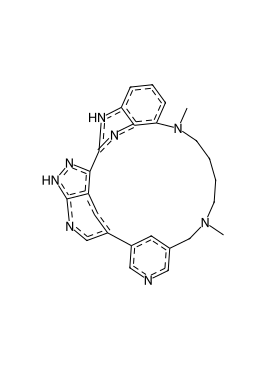 CN1CCCCN(C)c2cccc3[nH]c(nc23)-c2n[nH]c3ncc(cc23)-c2cncc(c2)C1